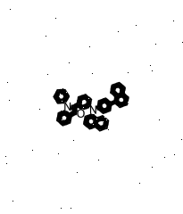 c1ccc(-n2c3ccccc3c3oc4c(N(c5ccc(-c6cccc7ccccc67)cc5)c5cccc6ccccc56)cccc4c32)cc1